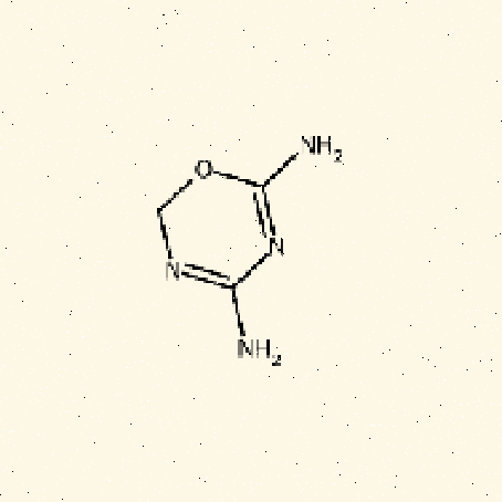 NC1=NCOC(N)=N1